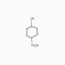 [CH2]COC(=O)c1ccc(C#N)cc1